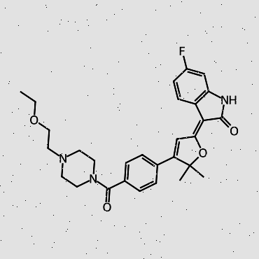 CCOCCN1CCN(C(=O)c2ccc(C3=CC(=C4C(=O)Nc5cc(F)ccc54)OC3(C)C)cc2)CC1